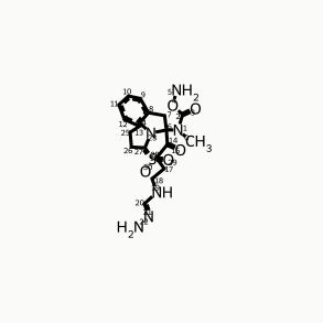 CN(C(=O)ON)C(Cc1ccccc1)(C(=O)CCCNC=NN)N1CCCC1=S(=O)=O